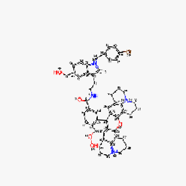 Cc1c(CCNC(=O)c2ccc(COO)c(C3=c4cc5c6c(c4Oc4c3cc3c7c4CCCN7CCC3)CCC[N+]=6CCC5)c2)c2cc(CO)ccc2n1Cc1ccc(Br)cc1